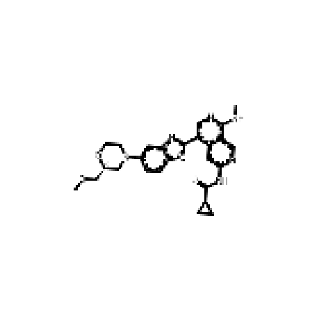 CNc1ncc(-c2nc3cc(N4CCO[C@H](COC)C4)ccc3o2)c2cc(NC(=O)C3CC3)ncc12